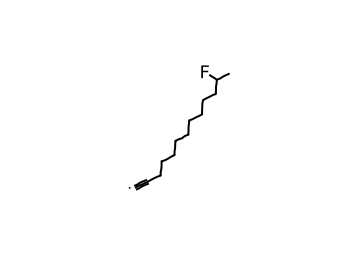 [C]#CCCCCCCCCCC(C)F